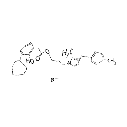 Cc1ccc(C[n+]2ccn(CCCOC(=O)Cc3cccc(C4CCCCCC4)c3O)c2C)cc1.[Br-]